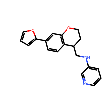 c1cncc(NCC2CCOc3cc(-c4ccco4)ccc32)c1